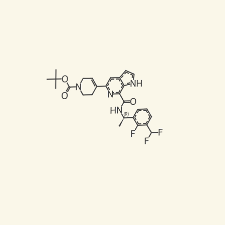 C[C@@H](NC(=O)c1nc(C2=CCN(C(=O)OC(C)(C)C)CC2)cc2cc[nH]c12)c1cccc(C(F)F)c1F